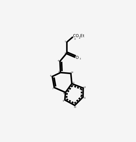 CCOC(=O)CC(=O)C=C1C=Cc2ccccc2C1